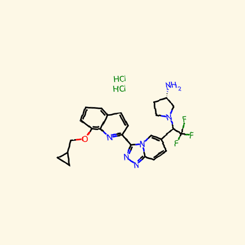 Cl.Cl.N[C@H]1CCN(C(c2ccc3nnc(-c4ccc5cccc(OCC6CC6)c5n4)n3c2)C(F)(F)F)C1